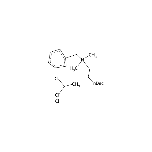 CC(Cl)Cl.CCCCCCCCCCCC[N+](C)(C)Cc1ccccc1.[Cl-]